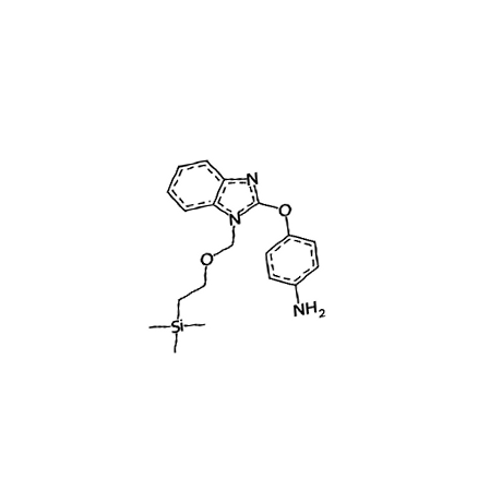 C[Si](C)(C)CCOCn1c(Oc2ccc(N)cc2)nc2ccccc21